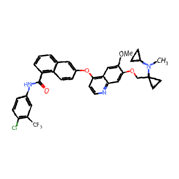 COc1cc2c(Oc3ccc4c(C(=O)Nc5ccc(Cl)c(C(F)(F)F)c5)cccc4c3)ccnc2cc1OCC1(N(C)C2CC2)CC1